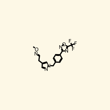 CO/N=C/Cc1cnn(Cc2ccc(-c3noc(C(F)(F)F)n3)cc2)c1